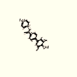 Cc1cc(-c2ccc(C(=O)Oc3ccc(F)cc3)cc2)cc(C)c1O